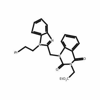 CCOC(=O)Cn1c(=O)c2ccccc2n(Cc2nc3ccccc3n2CCC(C)C)c1=O